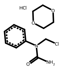 C1COCCO1.Cl.NC(=O)N(CCl)c1ccccc1